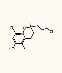 Cc1c(O)cc(Cl)c2c1CCC(C)(CCCCl)O2